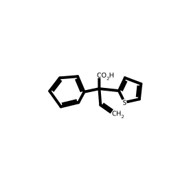 C=CC(C(=O)O)(c1ccccc1)c1cccs1